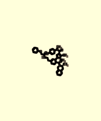 Cc1c(C(=O)N(C)c2ccc(O)cc2)cc(-c2cc(CCNC(=O)COc3ccccc3)ccc2C(=O)N2Cc3ccccc3C[C@H]2C)n1C